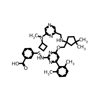 Cc1cccc(C)c1-c1cc(OCC2(NCc3cncc(N(C)C4CCC4)n3)CCC(C)(C)C2)nc(NSc2cccc(C(=O)O)c2)n1